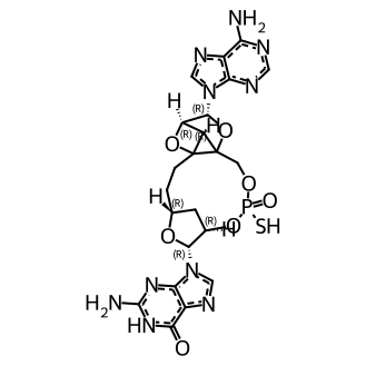 Nc1nc2c(ncn2[C@@H]2O[C@@H]3CCC45O[C@@H]6[C@H]4C5(COP(=O)(S)O[C@@H]2C3)O[C@H]6n2cnc3c(N)ncnc32)c(=O)[nH]1